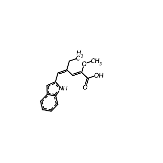 CCC(=Cc1cc2ccccc2[nH]1)C=C(OC)C(=O)O